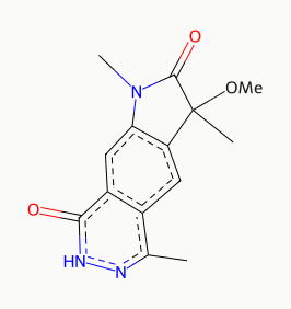 COC1(C)C(=O)N(C)c2cc3c(=O)[nH]nc(C)c3cc21